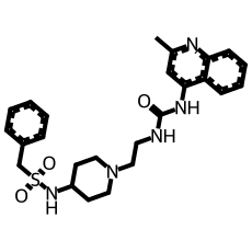 Cc1cc(NC(=O)NCCN2CCC(NS(=O)(=O)Cc3ccccc3)CC2)c2ccccc2n1